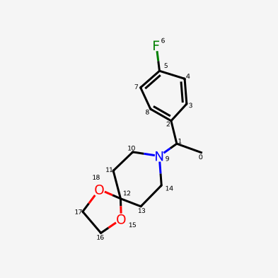 CC(c1ccc(F)cc1)N1CCC2(CC1)OCCO2